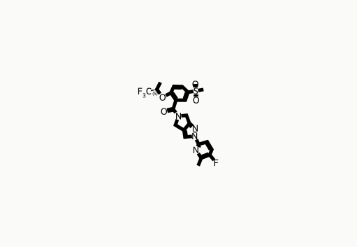 Cc1nc(-n2cc3c(n2)CN(C(=O)c2cc(S(C)(=O)=O)ccc2O[C@@H](C)C(F)(F)F)C3)ccc1F